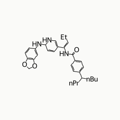 CC/C=C(/NC(=O)c1ccc(C(CCC)CCCC)cc1)C1=CNC(Nc2ccc3c(c2)OCO3)C=C1